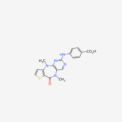 CN1C(=O)c2sccc2N(C)c2nc(Nc3ccc(C(=O)O)cc3)ncc21